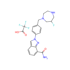 NC(=O)c1cccc2cn(-c3ccc(CN4CCNCC(F)C4)cc3)nc12.O=C(O)C(F)(F)F